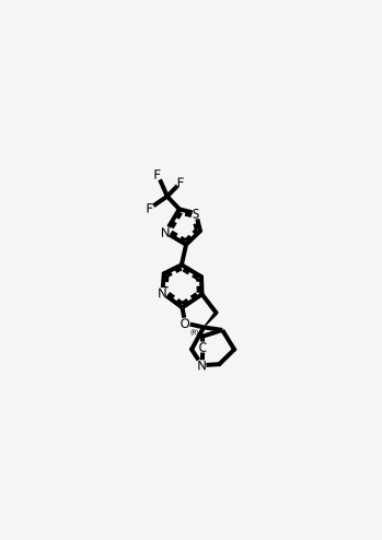 FC(F)(F)c1nc(-c2cnc3c(c2)C[C@@]2(CN4CCC2CC4)O3)cs1